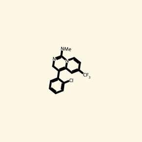 CNC1=NCC(c2ccccc2Cl)=C2C=C(C(F)(F)F)C=CN12